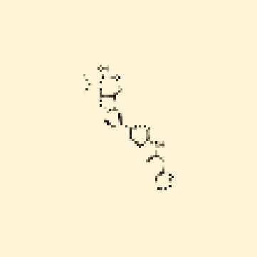 CC(C)[C@@H](C(=O)O)N1Cc2ccc(-c3ccc(NC(=O)Cc4ccccc4)cc3)cc2C1=O